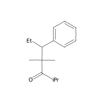 CCC(c1ccccc1)C(C)(C)C(=O)C(C)C